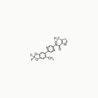 CC1=C(C(=O)Nc2cnc(-c3cc4c(cc3C)OC(F)(F)O4)cn2)N=CC1